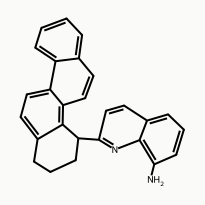 Nc1cccc2ccc(C3CCCc4ccc5c(ccc6ccccc65)c43)nc12